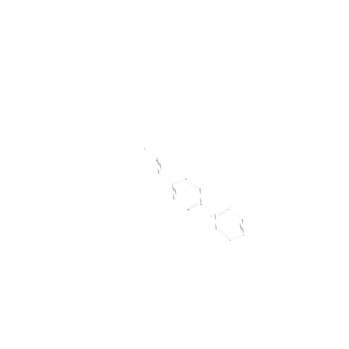 [CH2]c1ccc(-c2ccc(C=CC)cc2)cc1